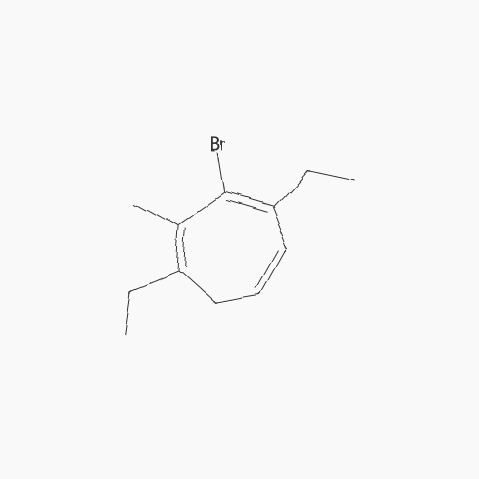 CCC1=C(Br)C(C)=C(CC)CC=C1